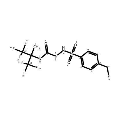 CC(NC(=O)NNS(=O)(=O)c1ccc(CF)cc1)(C(F)(F)F)C(F)(F)F